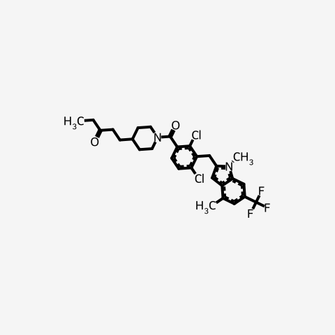 CCC(=O)CCC1CCN(C(=O)c2ccc(Cl)c(Cc3cc4c(C)cc(C(F)(F)F)cc4n3C)c2Cl)CC1